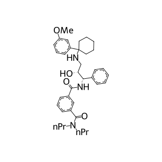 CCCN(CCC)C(=O)c1cccc(C(=O)N[C@@H](c2ccccc2)[C@H](O)CNC2(c3cccc(OC)c3)CCCCC2)c1